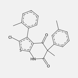 Cc1cccc(C2(C)C(=O)Nc3sc(Cl)c(-c4ccccc4C)c3C2=O)c1